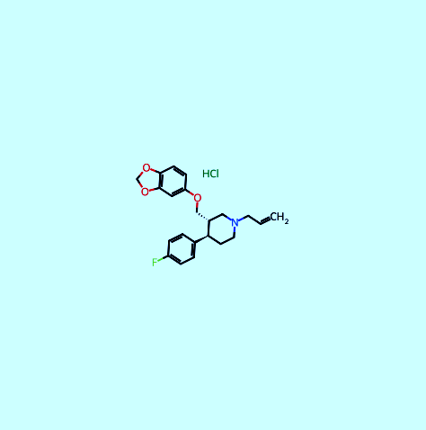 C=CCN1CC[C@@H](c2ccc(F)cc2)[C@H](COc2ccc3c(c2)OCO3)C1.Cl